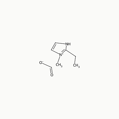 CCc1[nH]cc[n+]1C.O=C[O-]